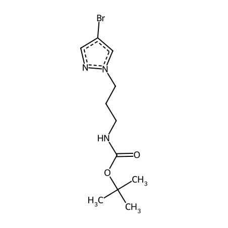 CC(C)(C)OC(=O)NCCCn1cc(Br)cn1